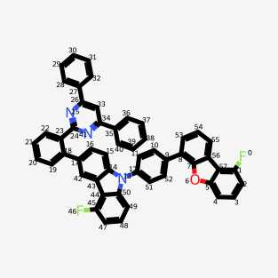 Fc1cccc2oc3c(-c4ccc(-n5c6ccc(-c7ccccc7-c7nc(-c8ccccc8)cc(-c8ccccc8)n7)cc6c6c(F)cccc65)cc4)cccc3c12